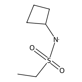 CCS(=O)(=O)[N]C1CCC1